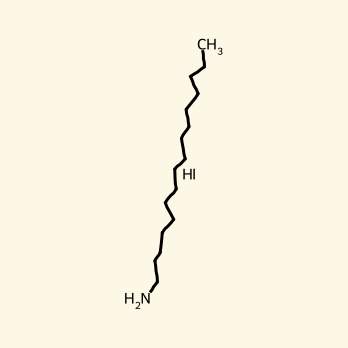 CCCCCCCCCCCCCCCCN.I